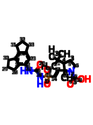 CC(C)(C)C1CCN(C(=O)O)C1(C)C=CS(=O)(=O)NC(=O)Nc1cc2c(c3c1CCC3)CCC2